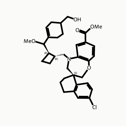 COC(=O)c1ccc2c(c1)N(C[C@@H]1CC[C@H]1C(OC)C1=CCC(CO)CC1)C[C@@]1(CCCc3cc(Cl)ccc31)CO2